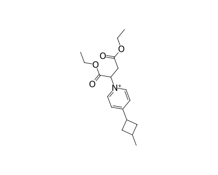 CCOC(=O)CC(C(=O)OCC)[n+]1ccc(C2CC(C)C2)cc1